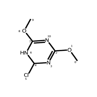 COC1=NC(Cl)NC(OC)=N1